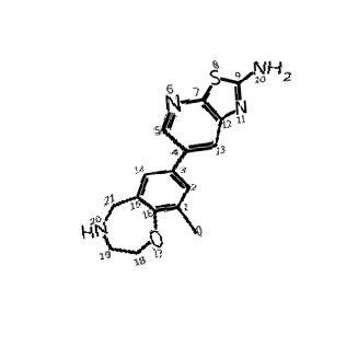 Cc1cc(-c2cnc3sc(N)nc3c2)cc2c1OCCNC2